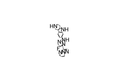 Fc1cnc(Nc2ccc3c4c([nH]c3c2)CCNC4)nc1-c1cnc2cccnn12